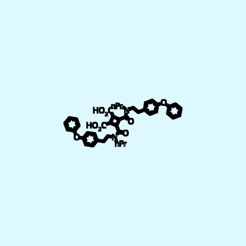 CCCN(CCc1ccc(Oc2ccccc2)cc1)C(=O)C1C(C(=O)O)C(C(=O)O)C1C(=O)N(CCC)CCc1ccc(Oc2ccccc2)cc1